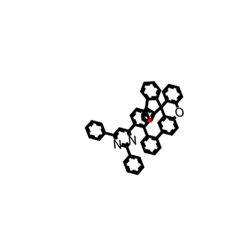 c1ccc(-c2cc(-c3ccccc3-c3ccccc3-c3ccc4c(c3)C3(c5ccccc5O4)c4ccccc4-c4ccccc43)nc(-c3ccccc3)n2)cc1